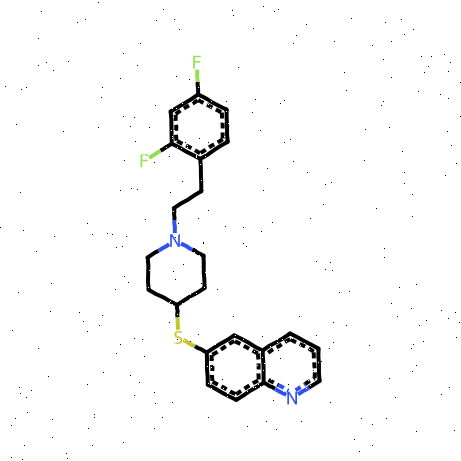 Fc1ccc(CCN2CCC(Sc3ccc4ncccc4c3)CC2)c(F)c1